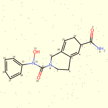 NC(=O)C1C=C2CCN(C(=O)N(O)c3ccccc3)CC2=CC1